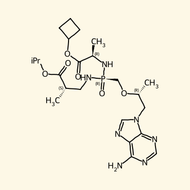 CC(C)OC(=O)[C@@H](C)CN[P@](=O)(CO[C@H](C)Cn1cnc2c(N)ncnc21)N[C@H](C)C(=O)OC1CCC1